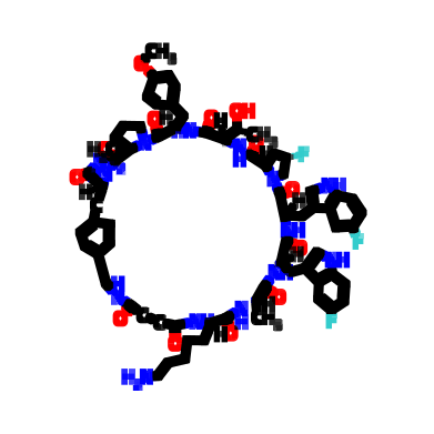 COc1ccc(C[C@@H]2NC(=O)[C@H]([C@@H](C)O)NC(=O)[C@@H]3C[C@H](F)CN3C(=O)[C@H](Cc3c[nH]c4ccc(F)cc34)NC(=O)[C@H](Cc3c[nH]c4ccc(F)cc34)NC(=O)[C@@H](C)NC(=O)[C@H](CCCCCN)NC(=O)CCC(=O)NCc3ccc(cc3)C[C@@H](C(N)=O)NC(=O)[C@]3(C)CCCN3C2=O)cc1